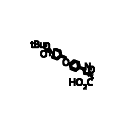 CC(C)(C)OC(=O)N1CCC(COc2ccc(C3=NO[C@@H](CC(=O)O)C3)cc2)CC1